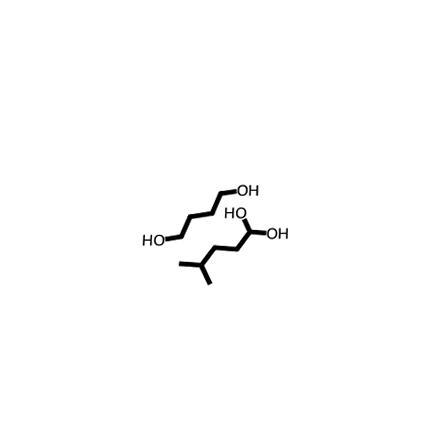 CC(C)CCC(O)O.OCCCCO